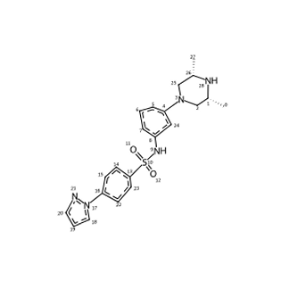 C[C@@H]1CN(c2cccc(NS(=O)(=O)c3ccc(-n4cccn4)cc3)c2)C[C@H](C)N1